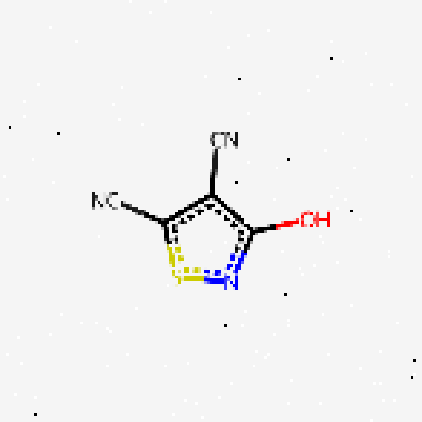 N#Cc1snc(O)c1C#N